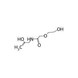 C=C(O)CNC(=O)COCCO